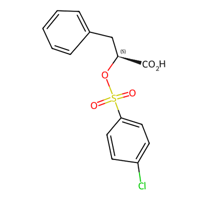 O=C(O)[C@H](Cc1ccccc1)OS(=O)(=O)c1ccc(Cl)cc1